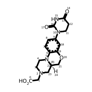 O=C(O)CN1CCN2c3ccc(N4CCC(=O)NC4=O)cc3OC[C@H]2C1